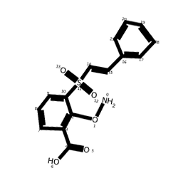 NOc1c(C(=O)O)cccc1S(=O)(=O)C=Cc1ccccc1